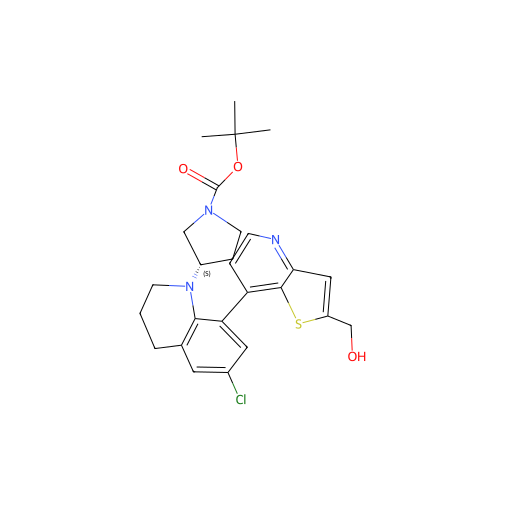 CC(C)(C)OC(=O)N1CC[C@H](N2CCCc3cc(Cl)cc(-c4ccnc5cc(CO)sc45)c32)C1